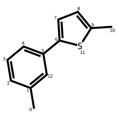 Cc1cccc(-c2ccc(C)s2)c1